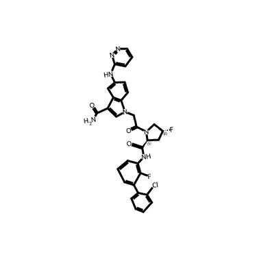 NC(=O)c1cn(CC(=O)N2C[C@H](F)C[C@H]2C(=O)Nc2cccc(-c3ccccc3Cl)c2F)c2ccc(Nc3cccnn3)cc12